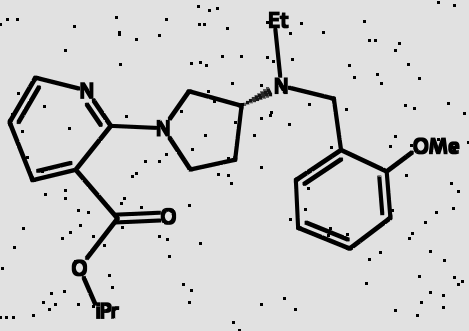 CCN(Cc1ccccc1OC)[C@@H]1CCN(c2ncccc2C(=O)OC(C)C)C1